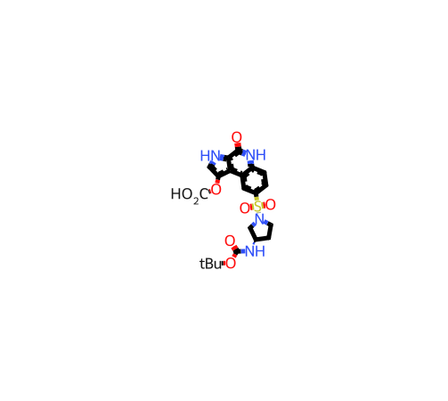 CC(C)(C)OC(=O)N[C@H]1CCN(S(=O)(=O)c2ccc3[nH]c(=O)c4[nH]cc(OC(=O)O)c4c3c2)C1